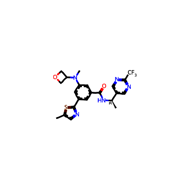 Cc1cnc(-c2cc(C(=O)N[C@H](C)c3cnc(C(F)(F)F)nc3)cc(N(C)C3COC3)c2)s1